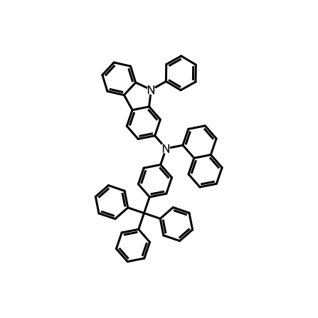 c1ccc(-n2c3ccccc3c3ccc(N(c4ccc(C(c5ccccc5)(c5ccccc5)c5ccccc5)cc4)c4cccc5ccccc45)cc32)cc1